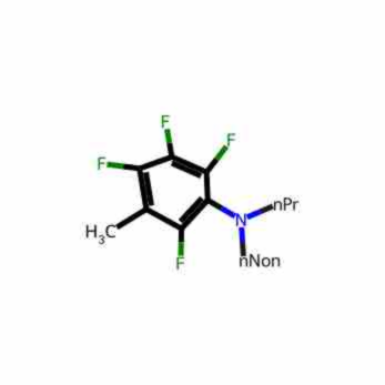 CCCCCCCCCN(CCC)c1c(F)c(C)c(F)c(F)c1F